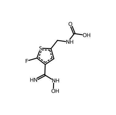 N=C(NO)c1cc(CNC(=O)O)sc1F